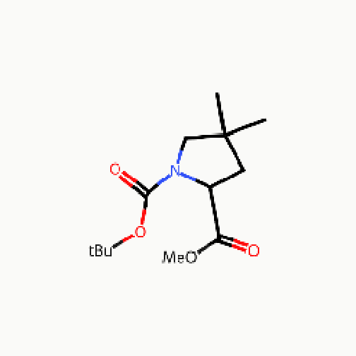 COC(=O)C1CC(C)(C)CN1C(=O)OC(C)(C)C